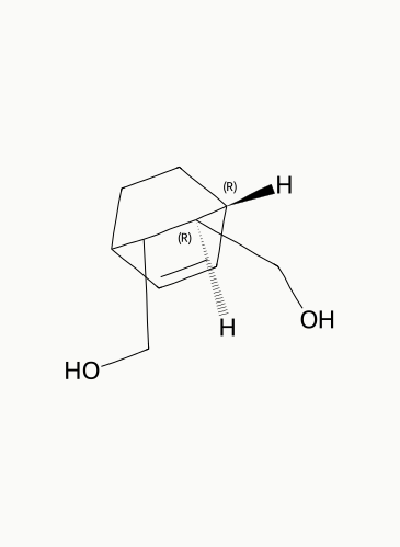 OCC1C2C=C[C@@H](CC2)[C@H]1CO